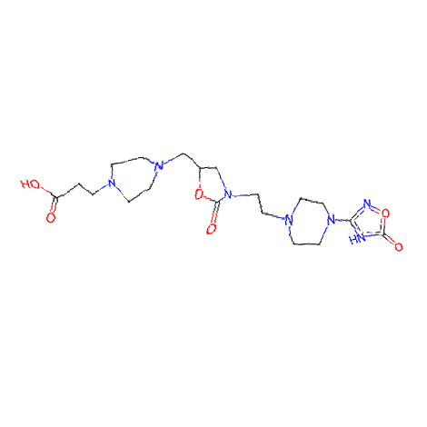 O=C(O)CCN1CCN(CC2CN(CCN3CCN(c4noc(=O)[nH]4)CC3)C(=O)O2)CC1